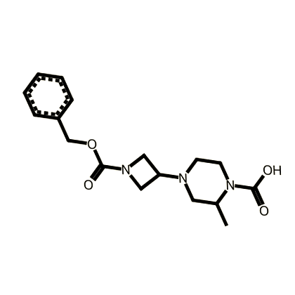 CC1CN(C2CN(C(=O)OCc3ccccc3)C2)CCN1C(=O)O